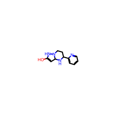 OC1=CC2NC(c3ccccn3)CCN2N1